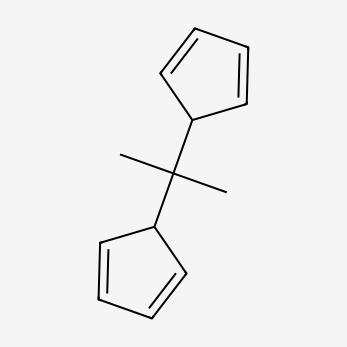 CC(C)(C1C=CC=C1)C1C=CC=C1